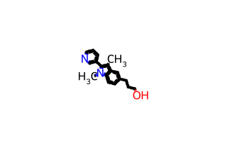 Cc1c(-c2cccnc2)n(C)c2ccc(CCCO)cc12